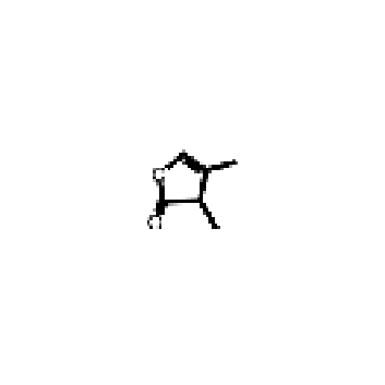 CC1=COC(=O)C1C